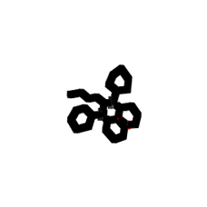 CCCCC(P(C1CCCCC1)C1CCCCC1)P(C1CCCCC1)C1CCCCC1